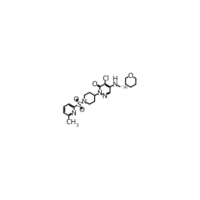 Cc1cccc(S(=O)(=O)N2CCC(n3ncc(NC[C@H]4CCCOC4)c(Cl)c3=O)CC2)n1